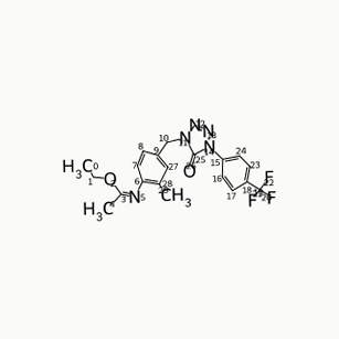 CCOC(C)=Nc1ccc(Cn2nnn(-c3ccc(C(F)(F)F)cc3)c2=O)cc1C